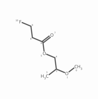 COC(C)COC(=O)CCF